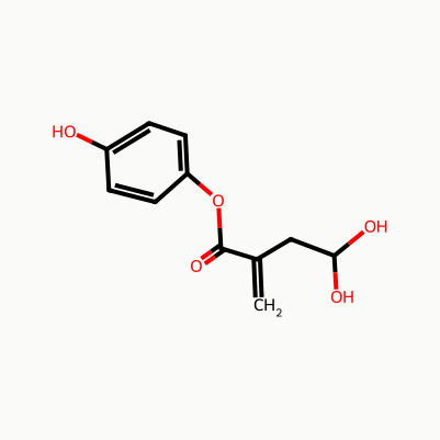 C=C(CC(O)O)C(=O)Oc1ccc(O)cc1